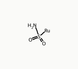 N[S](=O)(=O)[Ru]